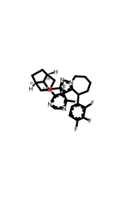 Cc1ncnc(N2C[C@H]3CC[C@@H](C2)C3Nc2nc3n(n2)CCCCC3c2ccc(F)c(F)c2F)c1F